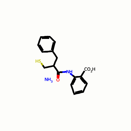 N.O=C(O)c1ccccc1NC(=O)C(CS)Cc1ccccc1